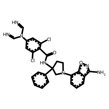 N=CN(C=N)c1cc(Cl)c(C(=O)NC2(c3ccccc3)CCN(c3cccc4c(N)noc34)C2)c(Cl)c1